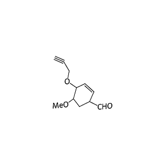 C#CCOC1C=CC(C=O)CC1OC